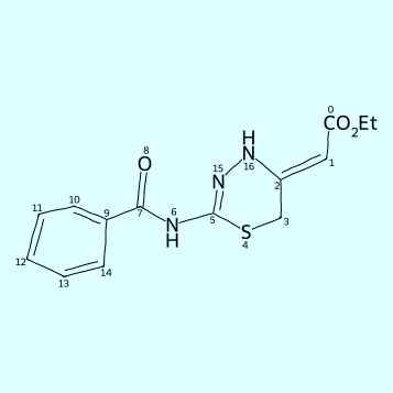 CCOC(=O)/C=C1/CSC(NC(=O)c2ccccc2)=NN1